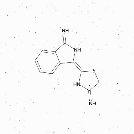 N=C1CSC(=C2NC(=N)c3ccccc32)N1